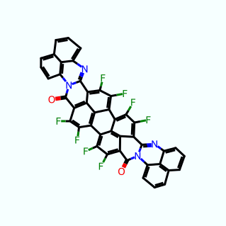 O=c1c2c(F)c(F)c3c4c(F)c(F)c5c(=O)n6c7cccc8cccc(nc6c6c(F)c(F)c(c9c(F)c(F)c(c2c39)c2nc3cccc9cccc(c93)n12)c4c56)c87